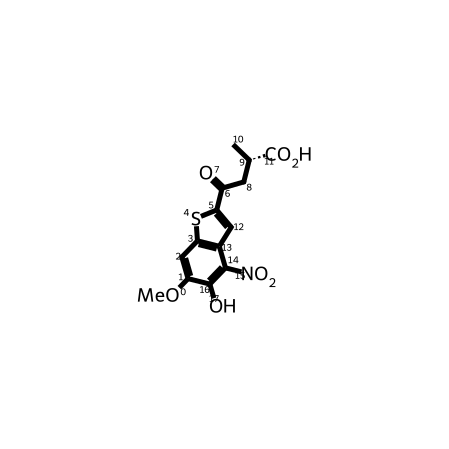 COc1cc2sc(C(=O)C[C@H](C)C(=O)O)cc2c([N+](=O)[O-])c1O